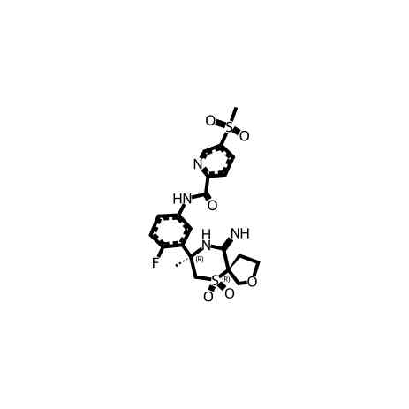 C[C@@]1(c2cc(NC(=O)c3ccc(S(C)(=O)=O)cn3)ccc2F)CS(=O)(=O)[C@]2(CCOC2)C(=N)N1